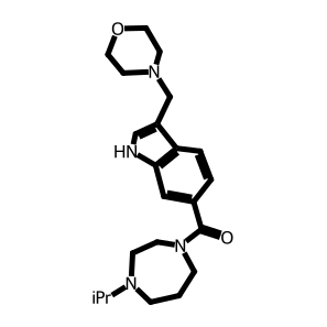 CC(C)N1CCCN(C(=O)c2ccc3c(CN4CCOCC4)c[nH]c3c2)CC1